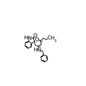 CCC[C@H]1C[C@H](NCc2ccccc2)CC2(O1)C(=O)Nc1ccccc12